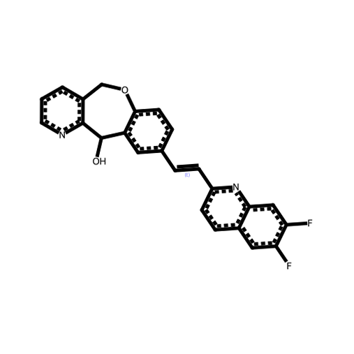 OC1c2cc(/C=C/c3ccc4cc(F)c(F)cc4n3)ccc2OCc2cccnc21